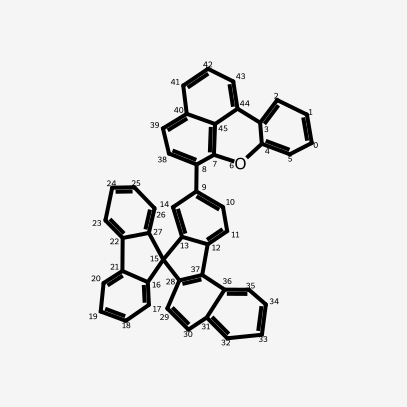 c1ccc2c(c1)Oc1c(-c3ccc4c(c3)C3(c5ccccc5-c5ccccc53)c3ccc5ccccc5c3-4)ccc3cccc-2c13